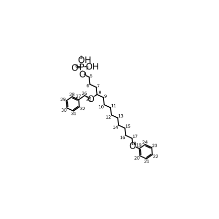 O=P(O)(O)OCCCC(CCCCCCCCCOc1ccccc1)OCc1ccccc1